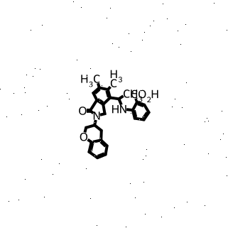 Cc1cc2c(c(C(C)Nc3ccccc3C(=O)O)c1C)CN(C1COc3ccccc3C1)C2=O